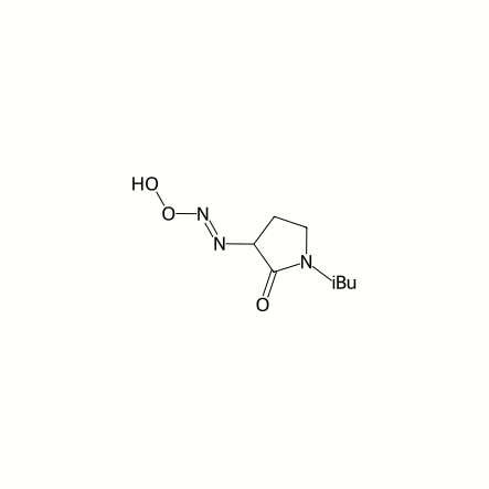 CCC(C)N1CCC(/N=N/OO)C1=O